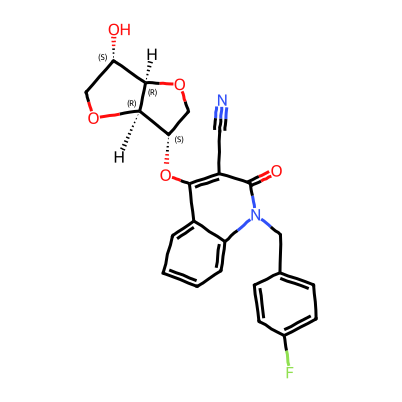 N#Cc1c(O[C@H]2CO[C@H]3[C@@H]2OC[C@@H]3O)c2ccccc2n(Cc2ccc(F)cc2)c1=O